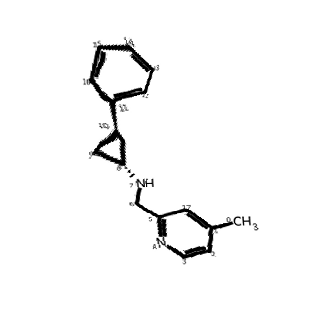 Cc1ccnc(CN[C@@H]2C[C@H]2c2ccccc2)c1